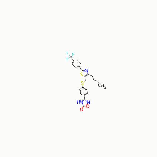 CCCCc1nc(-c2ccc(C(F)(F)F)cc2)sc1CSc1ccc(-c2noc(=O)[nH]2)cc1